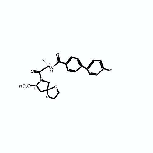 C[C@H](NC(=O)c1ccc(-c2ccc(F)cc2)cc1)C(=O)N1CC2(C[C@H]1C(=O)O)OCCO2